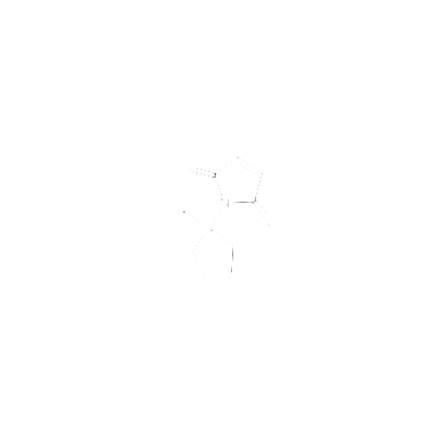 CC[Si](CC)(CC)N1C(=O)C=CC1=O